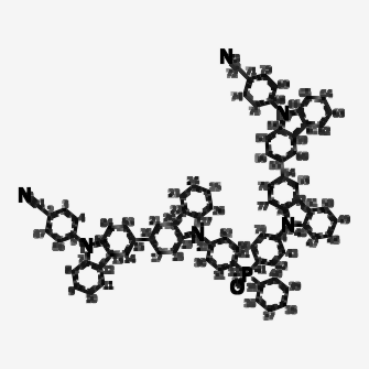 N#Cc1ccc(-n2c3ccccc3c3cc(-c4ccc5c(c4)c4ccccc4n5-c4ccc(P(=O)(c5ccccc5)c5ccc(-n6c7ccccc7c7cc(-c8ccc9c(c8)c8ccccc8n9-c8ccc(C#N)cc8)ccc76)cc5)cc4)ccc32)cc1